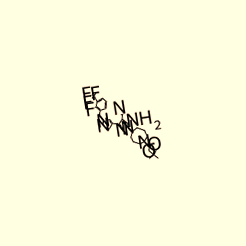 CC(C)(C)OC(=O)N1CCCC(n2nc(-c3cnn(Cc4cccc(C(F)(F)F)c4F)c3)c(C#N)c2N)CCC1